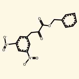 O=C(Cc1cc([N+](=O)[O-])cc([N+](=O)[O-])c1)C(=O)OCc1ccccc1